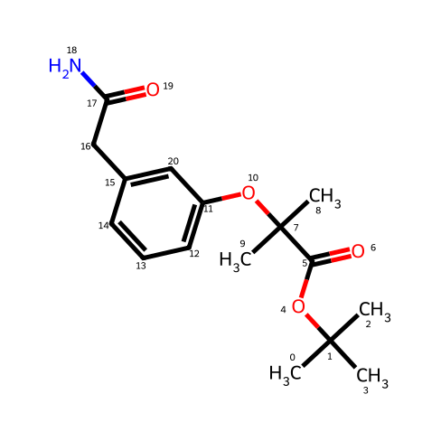 CC(C)(C)OC(=O)C(C)(C)Oc1cccc(CC(N)=O)c1